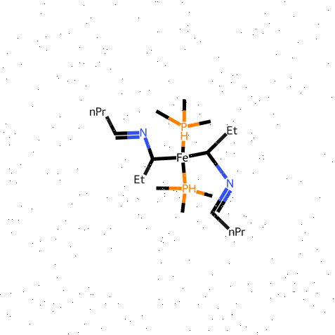 CCCC=N[CH](CC)[Fe]([CH](CC)N=CCCC)([PH](C)(C)C)[PH](C)(C)C